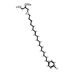 COC(CO)COCCCCCCCCCCCCCCCCCCc1ccc(I)cc1